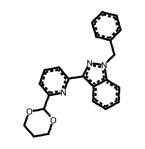 c1ccc(Cn2nc(-c3cccc(C4OCCCO4)n3)c3ccccc32)cc1